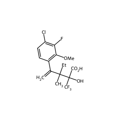 C=C(c1ccc(Cl)c(F)c1OC)C(C)(CC)C(O)(C(=O)O)C(F)(F)F